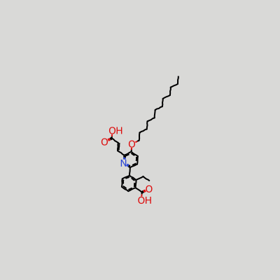 CCCCCCCCCCCCOc1ccc(-c2cccc(C(=O)O)c2CC)nc1C=CC(=O)O